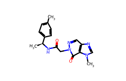 Cc1ccc([C@H](C)NC(=O)Cn2ncc3ncn(C)c3c2=O)cc1